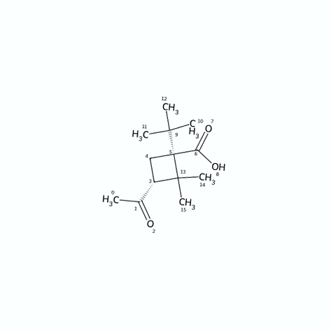 CC(=O)[C@@H]1C[C@](C(=O)O)(C(C)(C)C)C1(C)C